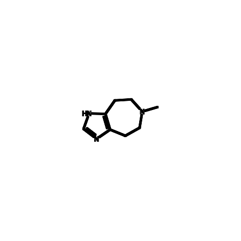 CN1CCc2nc[nH]c2CC1